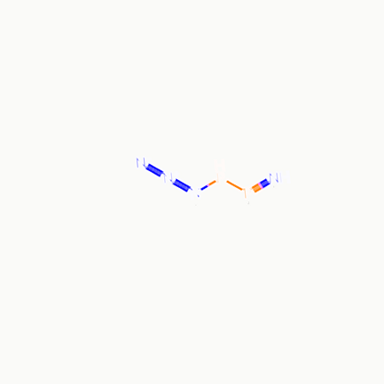 [N-]=[N+]=NPP=N